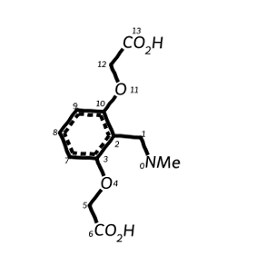 CNCc1c(OCC(=O)O)cccc1OCC(=O)O